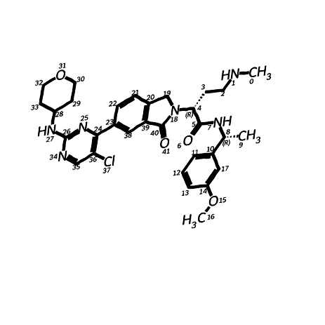 CNCC[C@H](C(=O)N[C@H](C)c1cccc(OC)c1)N1Cc2ccc(-c3nc(NC4CCOCC4)ncc3Cl)cc2C1=O